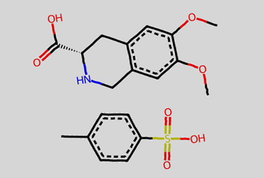 COc1cc2c(cc1OC)C[C@@H](C(=O)O)NC2.Cc1ccc(S(=O)(=O)O)cc1